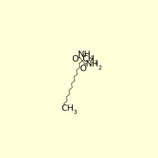 CCCCCCCCCCCCCCC(C)(C(N)=O)C(N)=O